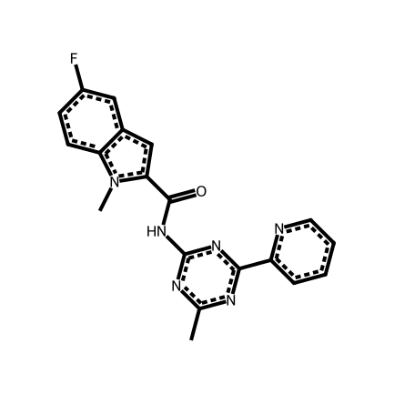 Cc1nc(NC(=O)c2cc3cc(F)ccc3n2C)nc(-c2ccccn2)n1